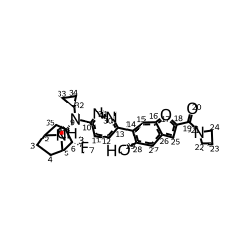 CN1C2CCC1[C@@H](F)[C@@H](N(c1ccc(-c3cc4oc(C(=O)N5CCC5)cc4cc3O)nn1)C1CC1)C2